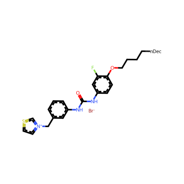 CCCCCCCCCCCCCCOc1ccc(NC(=O)Nc2cccc(C[n+]3ccsc3)c2)cc1F.[Br-]